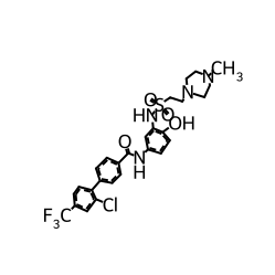 CN1CCN(CCS(=O)(=O)Nc2cc(NC(=O)c3ccc(-c4ccc(C(F)(F)F)cc4Cl)cc3)ccc2O)CC1